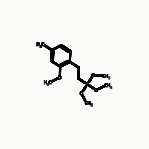 COc1cc(C)ccc1CC[Si](OC)(OC)OC